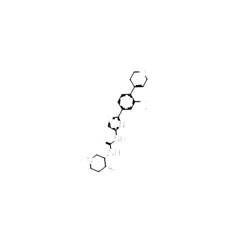 COc1cc(-c2nc(NC(=O)N[C@@H]3CNCC[C@@H]3F)cs2)ccc1C1=CCOCC1